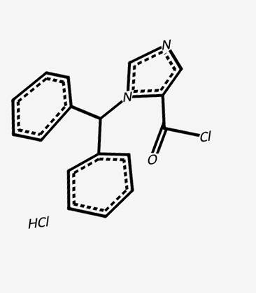 Cl.O=C(Cl)c1cncn1C(c1ccccc1)c1ccccc1